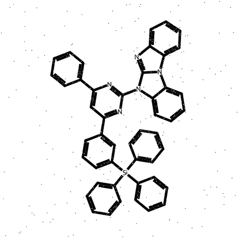 c1ccc(-c2cc(-c3cccc([Si](c4ccccc4)(c4ccccc4)c4ccccc4)c3)nc(-n3c4ccccc4n4c5ccccc5nc34)n2)cc1